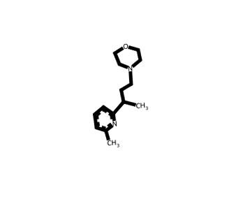 Cc1cccc(C(C)CCN2CCOCC2)n1